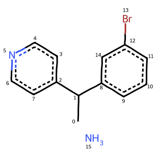 CC(c1ccncc1)c1cccc(Br)c1.N